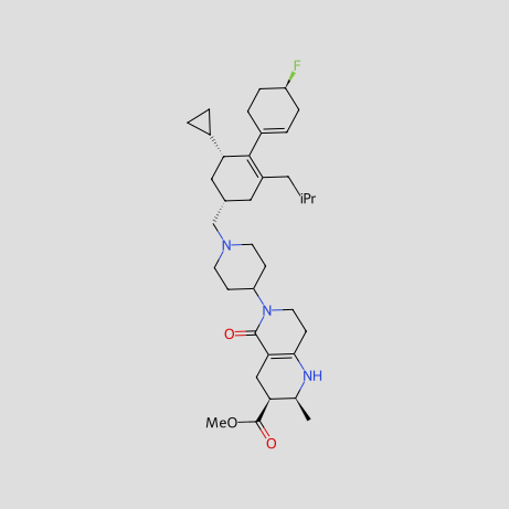 COC(=O)[C@H]1CC2=C(CCN(C3CCN(C[C@H]4CC(CC(C)C)=C(C5=CC[C@H](F)CC5)[C@@H](C5CC5)C4)CC3)C2=O)N[C@H]1C